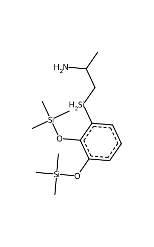 CC(N)C[SiH2]c1cccc(O[Si](C)(C)C)c1O[Si](C)(C)C